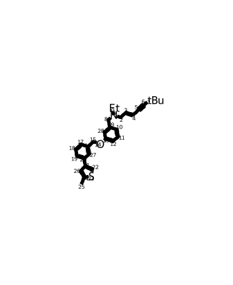 CCN(CC=CC#CC(C)(C)C)Cc1cccc(OCc2cccc(-c3csc(C)c3)c2)c1